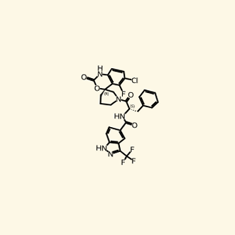 O=C1Nc2ccc(Cl)c(F)c2[C@@]2(CCCN(C(=O)[C@H](Cc3ccccc3)NC(=O)c3ccc4[nH]nc(C(F)(F)F)c4c3)C2)O1